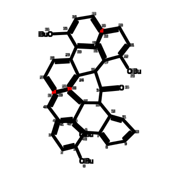 CC(C)COc1ccccc1-c1ccccc1C(C(=O)C(c1ccccc1OCC(C)C)c1ccccc1-c1ccccc1OCC(C)C)c1ccccc1OCC(C)C